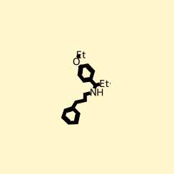 C[CH]C(NCCCc1ccccc1)c1ccc(OCC)cc1